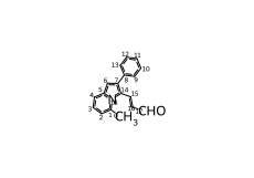 Cc1cccc2cc(-c3ccccc3)c(/C=C/C=O)n12